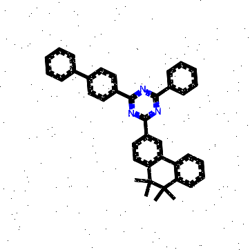 CC1(C)c2ccccc2-c2cc(-c3nc(-c4ccccc4)nc(-c4ccc(-c5ccccc5)cc4)n3)ccc2C1(C)C